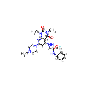 CN1CCN(c2cc(NCC(=O)Nc3ccccc3F)c3c(=O)n(C)c(=O)n(C)c3n2)CC1